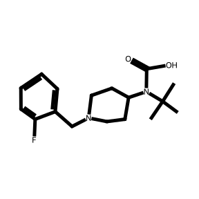 CC(C)(C)N(C(=O)O)C1CCN(Cc2ccccc2F)CC1